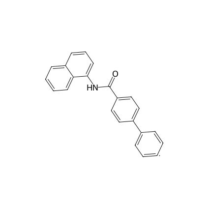 O=C(Nc1cccc2ccccc12)c1ccc(-c2cc[c]cc2)cc1